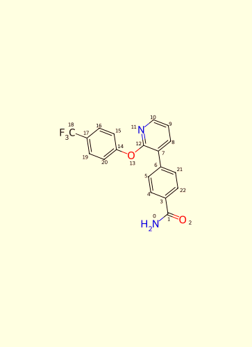 NC(=O)c1ccc(-c2cccnc2Oc2ccc(C(F)(F)F)cc2)cc1